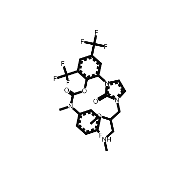 CNCC(Cn1ccn(-c2cc(C(F)(F)F)cc(C(F)(F)F)c2OC(=O)N(C)c2ccc(F)cc2)c1=O)OC